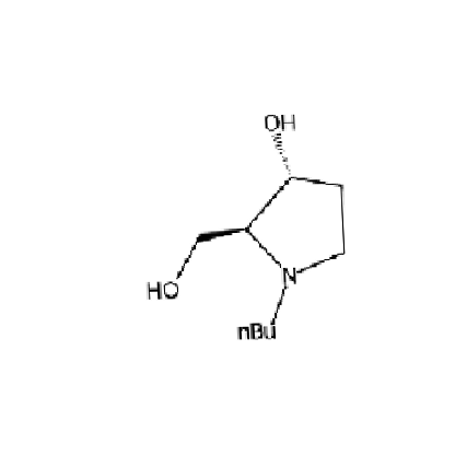 CCCCN1CC[C@@H](O)[C@@H]1CO